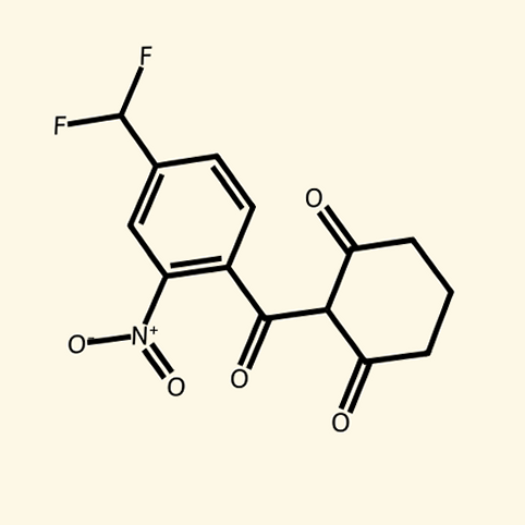 O=C1CCCC(=O)C1C(=O)c1ccc(C(F)F)cc1[N+](=O)[O-]